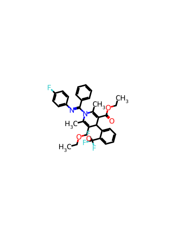 CCOC(=O)C1=C(C)N(C(=Nc2ccc(F)cc2)c2ccccc2)C(C)=C(C(=O)OCC)C1c1ccccc1C(F)(F)F